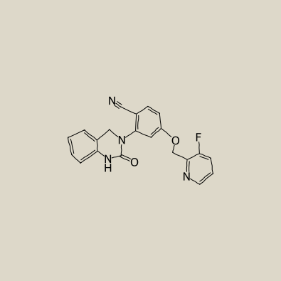 N#Cc1ccc(OCc2ncccc2F)cc1N1Cc2ccccc2NC1=O